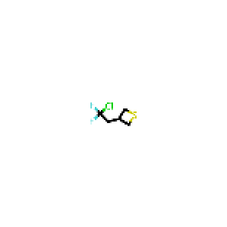 FC(F)(Cl)CC1CSC1